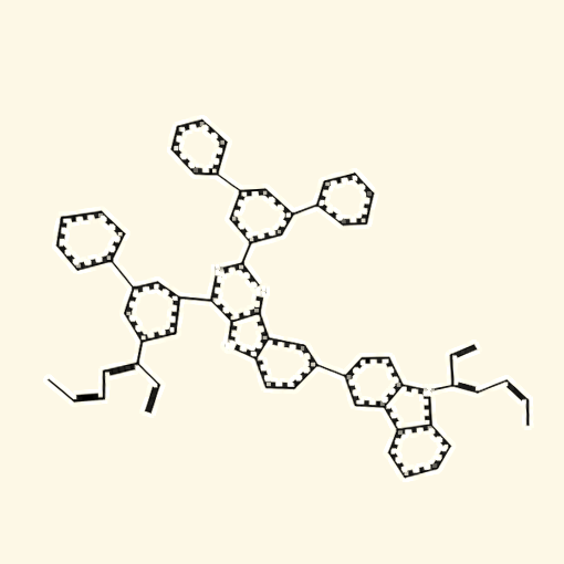 C=C/C(=C\C=C/C)c1cc(-c2ccccc2)cc(-c2nc(-c3cc(-c4ccccc4)cc(-c4ccccc4)c3)nc3c2oc2ccc(-c4ccc5c(c4)c4ccccc4n5/C(C=C)=C/C=C\C)cc23)c1